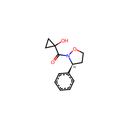 O=C(N1OCC[C@H]1c1ccccc1)C1(O)CC1